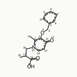 Cc1c(OCc2ccccc2)c(=O)ccn1CC(C)C(=O)O